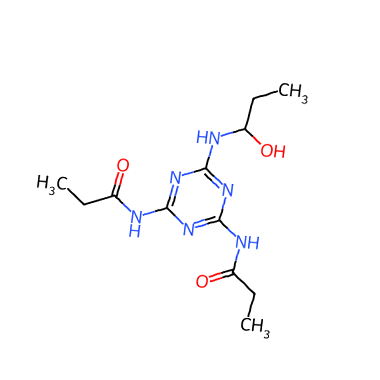 CCC(=O)Nc1nc(NC(=O)CC)nc(NC(O)CC)n1